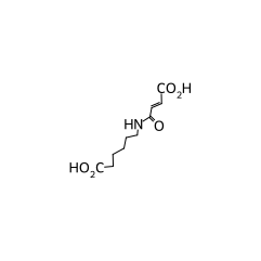 O=C(O)/C=C/C(=O)NCCCCCC(=O)O